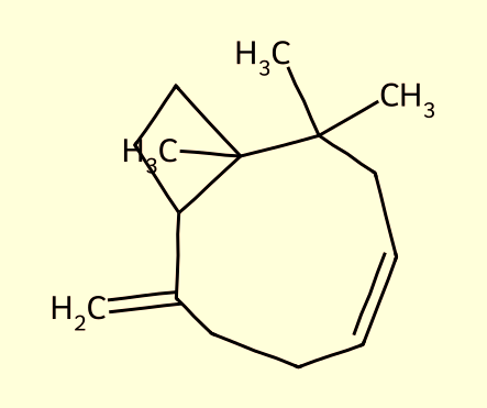 C=C1CCC=CCC(C)(C)C2(C)CCC12